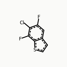 Fc1cc2ccsc2c(F)c1Cl